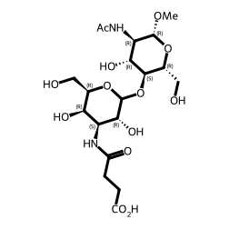 CO[C@@H]1O[C@H](CO)[C@@H](OC2O[C@H](CO)[C@H](O)[C@H](NC(=O)CCC(=O)O)[C@H]2O)[C@H](O)[C@H]1NC(C)=O